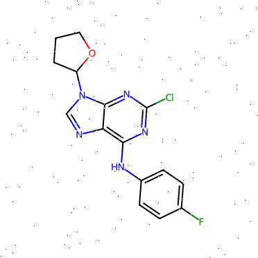 Fc1ccc(Nc2nc(Cl)nc3c2ncn3C2CCCO2)cc1